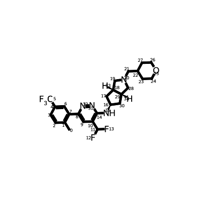 Cc1ccc(C(F)(F)F)cc1-c1cc(C(F)F)c(N[C@H]2C[C@@H]3CN(CC4CCOCC4)C[C@@H]3C2)nn1